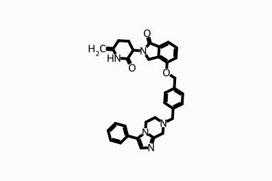 C=C1CCC(N2Cc3c(OCc4ccc(CN5CCn6c(-c7ccccc7)cnc6C5)cc4)cccc3C2=O)C(=O)N1